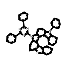 c1ccc(-c2nc(-c3ccccc3)nc(-n3c4ccc5oc6ccccc6c5c4c4c5c6ccccc6n(-c6ccccc6)c5ccc43)n2)cc1